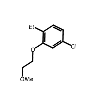 CCc1ccc(Cl)cc1OCCOC